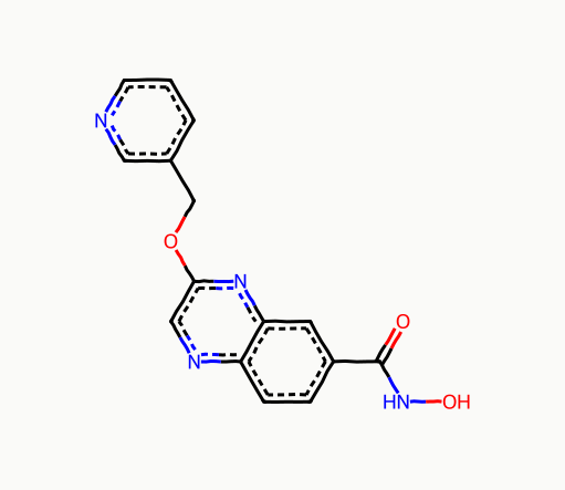 O=C(NO)c1ccc2ncc(OCc3cccnc3)nc2c1